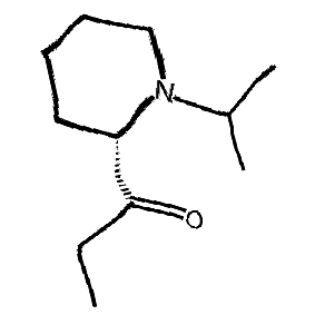 CCC(=O)[C@@H]1CCCCN1C(C)C